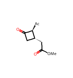 COC(=O)C[C@@H]1CC(=O)[C@H]1C(C)=O